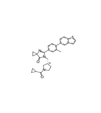 Cc1cc(C2=NC3(CC3)C(=O)N2C[C@@H]2CCN(C(=O)C3CC3)C2)ccc1-c1ccc2sccc2c1